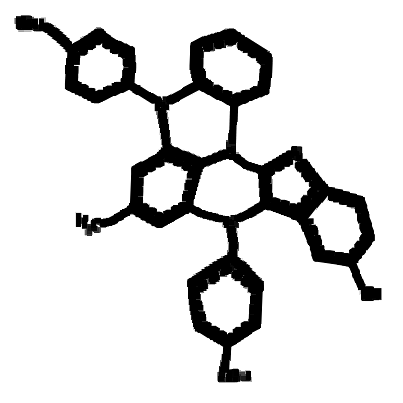 Cc1cc2c3c(c1)N(c1ccc(C(C)(C)C)cc1)c1c(sc4ccc(C(C)(C)C)cc14)B3c1ccccc1N2c1ccc(C(C)(C)C)cc1